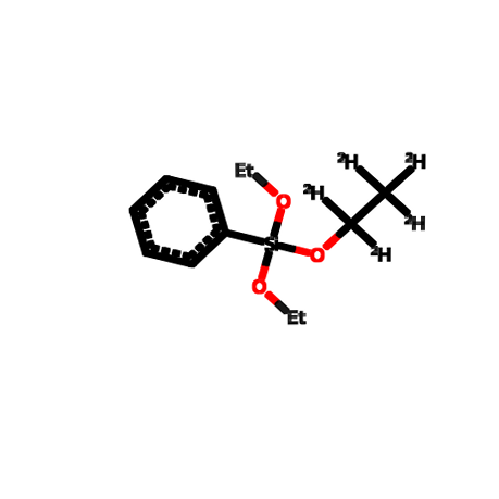 [2H]C([2H])([2H])C([2H])([2H])O[Si](OCC)(OCC)c1ccccc1